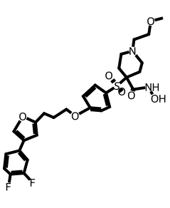 COCCN1CCC(C(=O)NO)(S(=O)(=O)c2ccc(OCCCc3cc(-c4ccc(F)c(F)c4)co3)cc2)CC1